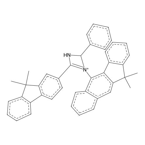 CC1(C)c2ccccc2-c2ccc(C3=[N+](c4c5c(cc6ccccc46)C(C)(C)c4ccccc4-5)C(c4ccccc4)N3)cc21